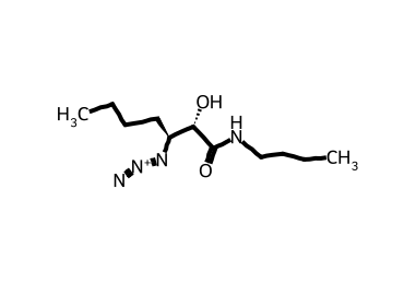 CCCCNC(=O)[C@@H](O)[C@H](CCCC)N=[N+]=[N-]